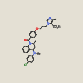 CCOC(=O)c1c(C)ncn1CCCOc1ccc(C(=O)N2c3ccccc3[C@H](N(C(C)=O)c3ccc(Cl)cc3)C[C@@H]2C)cc1